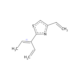 C=C/C(=C\C)c1nc(C=C)cs1